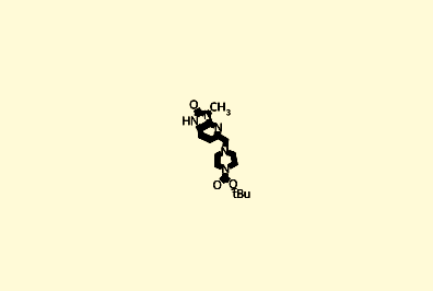 Cn1c(=O)[nH]c2ccc(CN3CCN(C(=O)OC(C)(C)C)CC3)nc21